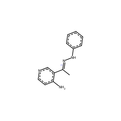 C/C(=N\Nc1ccccc1)c1cnccc1N